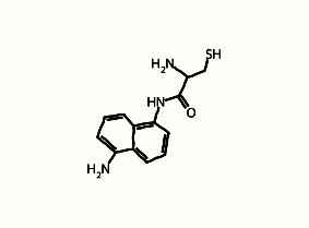 Nc1cccc2c(NC(=O)C(N)CS)cccc12